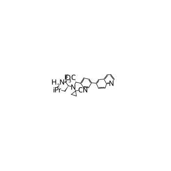 CC(C)C[C@@H](C(N)=O)N([C@@H](c1ccc(-c2ccc3ncccc3c2)cc1)C(F)(F)F)C1(C#N)CC1